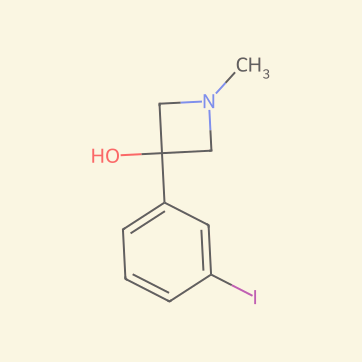 CN1CC(O)(c2cccc(I)c2)C1